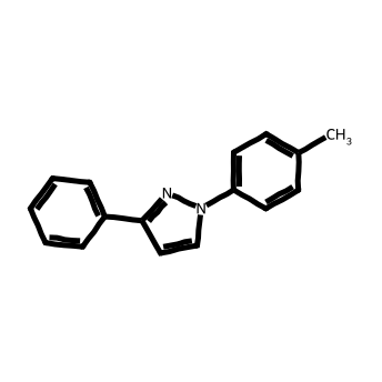 Cc1ccc(-n2ccc(-c3ccccc3)n2)cc1